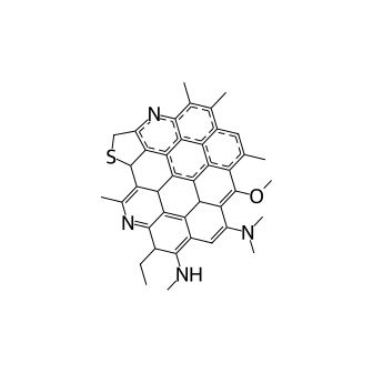 CCC1C2=NC(C)=C3C4SCc5nc6c(C)c(C)c7cc(C)c8c9c%10c(c(c54)c6c79)C3C2=C2C(=C1NC)C=C(N(C)C)C(=C8OC)C2%10